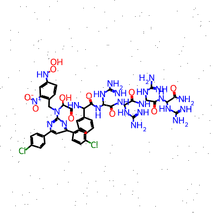 N=C(N)NC(NC(=O)C(NC(=N)N)NC(=O)C(NC(=N)N)NC(=O)C(NC(=N)N)NC(=O)C(NC(=O)C(O)N(Cc1ccc(NOO)cc1[N+](=O)[O-])c1nc(-c2ccc(Cl)cc2)cc(-c2ccc(Cl)cc2)n1)c1ccccc1)C(N)=O